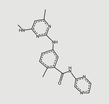 CNc1cc(C)nc(Nc2ccc(C)c(C(=O)Nc3cnccn3)c2)n1